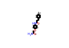 CC(=O)c1ccc(C[CH]C(=O)Nc2ccc(OCC(N)=O)cc2)cc1